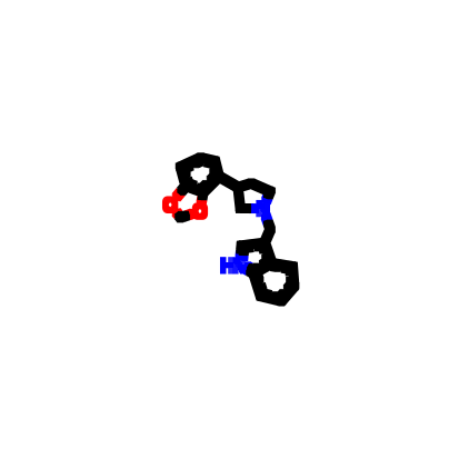 c1cc2c(c(C3CCN(Cc4c[nH]c5ccccc45)C3)c1)OCO2